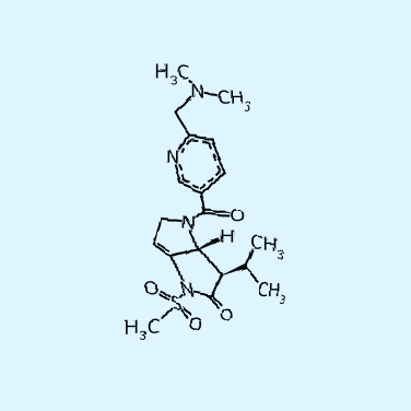 CC(C)[C@H]1C(=O)N(S(C)(=O)=O)C2=CCN(C(=O)c3ccc(CN(C)C)nc3)[C@@H]21